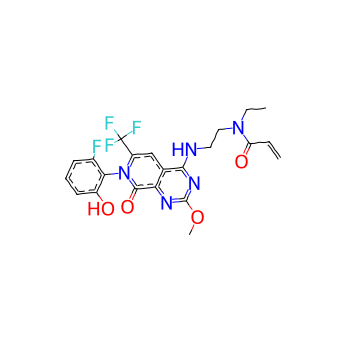 C=CC(=O)N(CC)CCNc1nc(OC)nc2c(=O)n(-c3c(O)cccc3F)c(C(F)(F)F)cc12